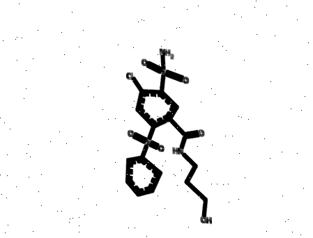 NS(=O)(=O)c1cc(C(=O)NCCCO)c(S(=O)(=O)c2ccccc2)cc1Cl